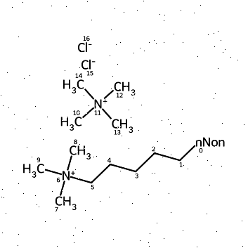 CCCCCCCCCCCCCC[N+](C)(C)C.C[N+](C)(C)C.[Cl-].[Cl-]